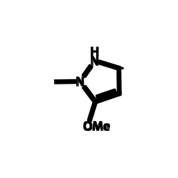 COC1=C[CH]NN1C